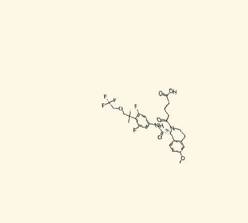 COc1ccc2c(c1)CCN(C(=O)CCCC(=O)O)[C@H]2C(=O)Nc1cc(F)c(C(C)(C)COCC(F)(F)F)c(F)c1